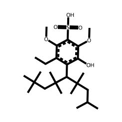 CCc1c(OC)c(S(=O)(=O)O)c(OC)c(O)c1C(C(C)(C)CC(C)C)C(C)(C)CC(C)(C)C